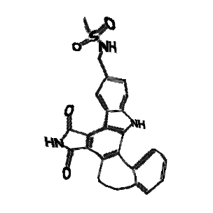 CS(=O)(=O)NCc1ccc2[nH]c3c4c(c5c(c3c2c1)C(=O)NC5=O)CCc1ccccc1-4